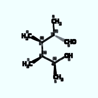 C[C@H]([C@H](C)[C@H](C)O)[C@H](C)C=O